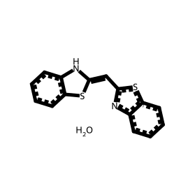 C(=C1Nc2ccccc2S1)c1nc2ccccc2s1.O